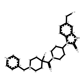 O=C(N1CCC(n2c(=O)[nH]c3cc(CF)ccc32)CC1)C1(F)CCN(Cc2ccncc2)CC1